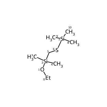 CCO[Si](C)(C)CS[Si](C)(C)C